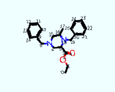 CCOC(=O)C1CN(Cc2ccccc2)CC(C)N1Cc1ccccc1